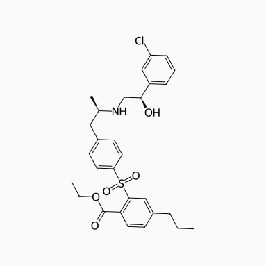 CCCc1ccc(C(=O)OCC)c(S(=O)(=O)c2ccc(C[C@@H](C)NC[C@H](O)c3cccc(Cl)c3)cc2)c1